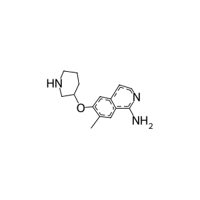 Cc1cc2c(N)nccc2cc1OC1CCCNC1